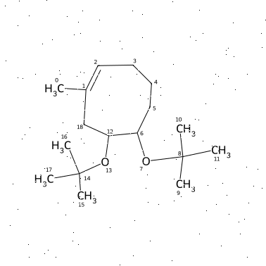 CC1=CCCCC(OC(C)(C)C)C(OC(C)(C)C)C1